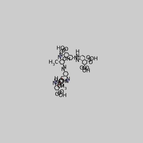 Cc1cc(N=Nc2ccc(/N=N\c3c(S(=O)(=O)O)cc4cc(N5N=C6c7cc(S(=O)(=O)O)cc(S(=O)(=O)O)c7C=CC6N5)ccc4c3O)c(C)c2)ccc1/N=N\c1ccc(/N=N\c2ccc(S(=O)(=O)O)cc2S(=O)(=O)O)c(C)c1